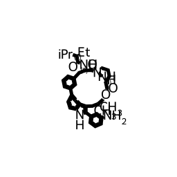 CC[C@H](C(=O)N[C@H]1Cc2cccc(c2)-c2ccc3[nH]c(-c4cccc(N)c4)c(c3c2)CC(C)(C)COC(=O)[C@@H]2CCCN(N2)C1=O)C(C)C